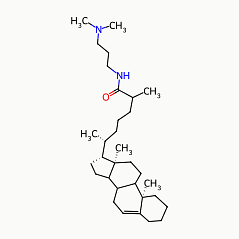 CC(CCC[C@@H](C)[C@H]1CCC2C3CC=C4CCCC[C@]4(C)C3CC[C@@]21C)C(=O)NCCCN(C)C